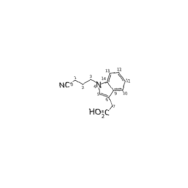 N#CCCCn1cc(CC(=O)O)c2ccccc21